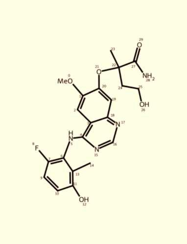 COc1cc2c(Nc3c(F)ccc(O)c3C)ncnc2cc1OC(C)(CCO)C(N)=O